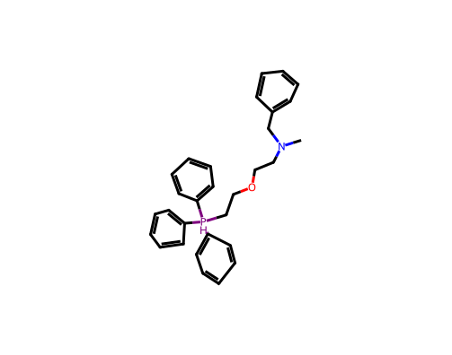 CN(CCOCC[PH](c1ccccc1)(c1ccccc1)c1ccccc1)Cc1ccccc1